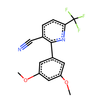 COc1cc(OC)cc(-c2nc(C(F)(F)F)ccc2C#N)c1